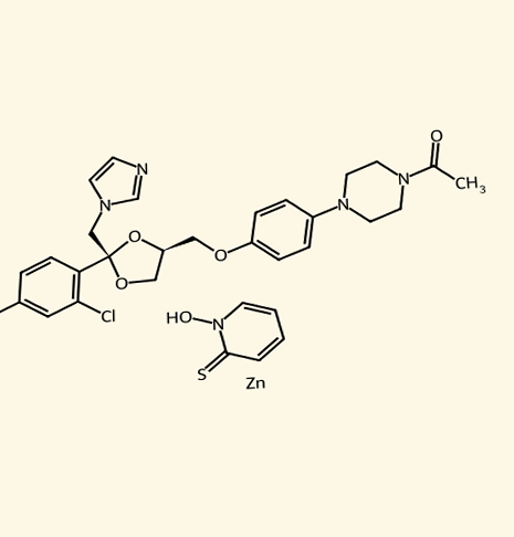 CC(=O)N1CCN(c2ccc(OC[C@H]3CO[C@](Cn4ccnc4)(c4ccc(Cl)cc4Cl)O3)cc2)CC1.On1ccccc1=S.[Zn]